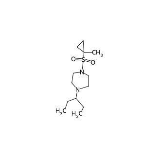 CCC(CC)N1CCN(S(=O)(=O)C2(C)CC2)CC1